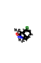 CC1C(=O)NC2(C)CC3=C2/C1=C\C(Cl)=C/CC3